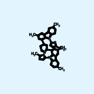 Cc1ccc2c(c1)c1cc(C)cc(-c3ccnc(-c4cc(C)cc5c6cc(C)ccc6n(-c6ccc(C)s6)c45)c3)c1n2-c1ccc(C)s1